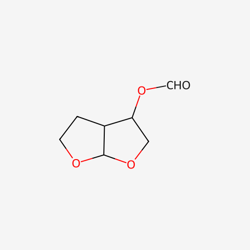 O=COC1COC2OCCC12